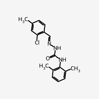 Cc1ccc(/C=N/NC(=O)Nc2c(C)cccc2C)c(Cl)c1